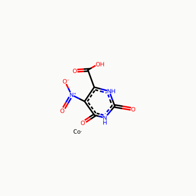 O=C(O)c1[nH]c(=O)[nH]c(=O)c1[N+](=O)[O-].[Co]